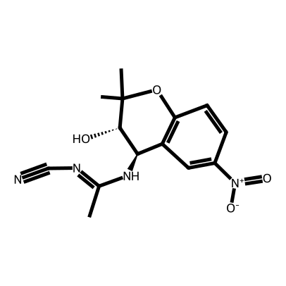 CC(=NC#N)N[C@@H]1c2cc([N+](=O)[O-])ccc2OC(C)(C)[C@H]1O